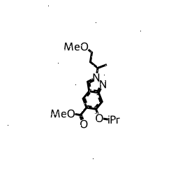 COCCC(C)n1cc2cc(C(=O)OC)c(OC(C)C)cc2n1